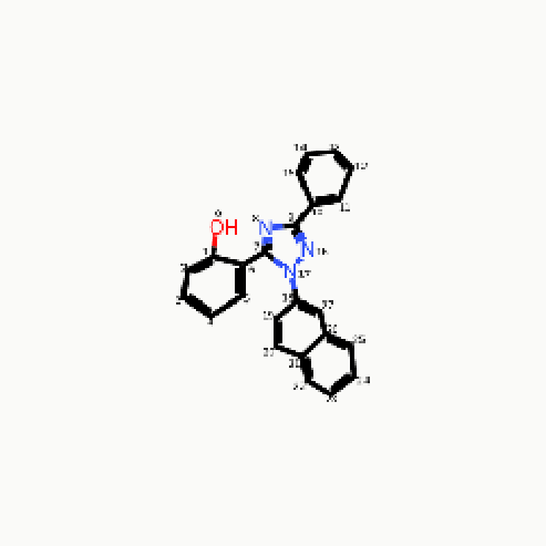 Oc1ccccc1-c1nc(-c2ccccc2)nn1-c1ccc2ccccc2c1